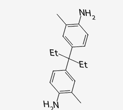 CCC(CC)(c1ccc(N)c(C)c1)c1ccc(N)c(C)c1